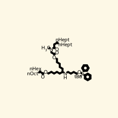 CCCCCCCCC(CCCCCC)C(=O)OCCCCCC(CCCCCOC(=O)CN(C)C(=O)CC(CCCCCCC)CCCCCCC)NCCCCO[Si](c1ccccc1)(c1ccccc1)C(C)(C)C